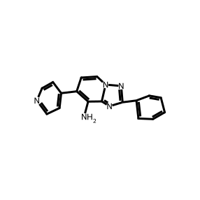 Nc1c(-c2ccncc2)ccn2nc(-c3ccccc3)nc12